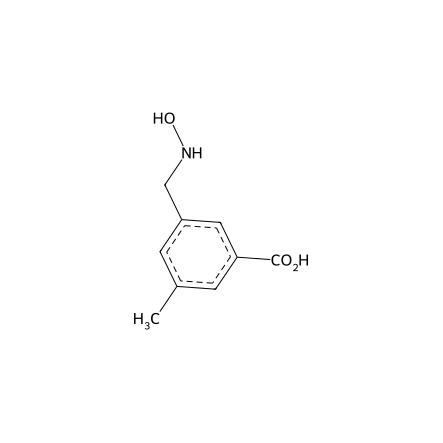 Cc1cc(CNO)cc(C(=O)O)c1